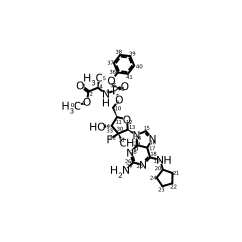 COC(=O)[C@@H](C)NP(=O)(OC[C@H]1O[C@@H](N2C=NC3C(NC4CCCC4)=NC(N)=NC32)[C@](C)(F)[C@@H]1O)Oc1ccccc1